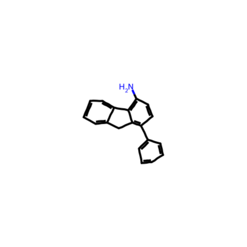 Nc1ccc(-c2ccccc2)c2c1-c1ccccc1C2